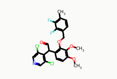 COc1ccc(C(C=O)c2c(Cl)cncc2Cl)c(OCc2ccc(C)c(F)c2F)c1OC